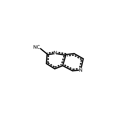 N#Cc1ccc2cnccc2n1